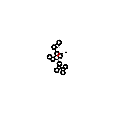 CC(C)(C)c1ccc(N(c2ccc3c(c2)-c2ccccc2C3(c2ccccc2)c2ccccc2)c2ccc3ccccc3c2-c2cccc(-c3cccc4c3sc3ccccc34)c2)cc1